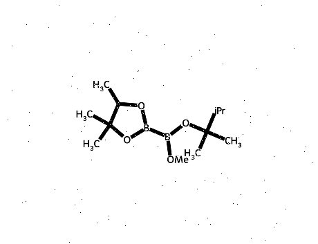 COB(OC(C)(C)C(C)C)B1OC(C)C(C)(C)O1